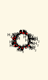 CC[C@H](C)[C@@H]1NC(=O)[C@H]([C@@H](C)O)NC(=O)[C@H](Cc2cncn2C)NC(=O)[C@H](Cc2ccccc2)NC(=O)CSC[C@@H](C(=O)NCC(N)=O)NC(=O)[C@H](Cc2ccc(O)cc2)NC(=O)[C@H](Cc2c[nH]c3ccccc23)NC(=O)[C@H](Cc2ccc(O)cc2)NC(=O)[C@H](CCCCN)NC(=O)[C@H](Cc2ccccc2)NC(=O)C(C)(C)NC(=O)[C@H](CCCNC(=N)N)NC(=O)[C@H](CCCCN)NC(=O)[C@H](CCCNC(=N)N)NC1=O